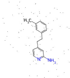 Cc1[c]ccc(CCc2ccnc(N)c2)c1